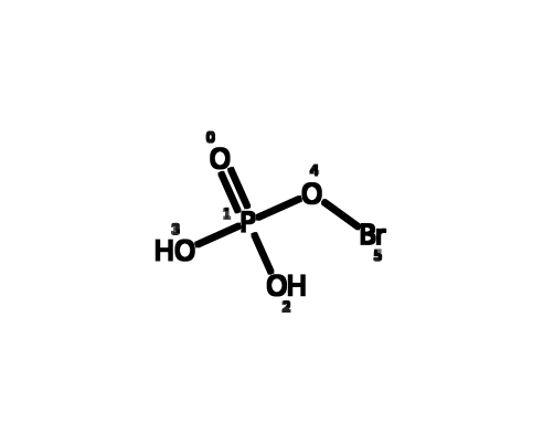 O=P(O)(O)OBr